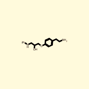 CC(C)NCC(O)COc1ccc(CCN)cc1